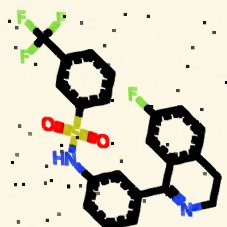 O=S(=O)(Nc1cccc(C2=NCCc3ccc(F)cc32)c1)c1cccc(C(F)(F)F)c1